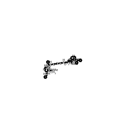 CN[C@@H](C)C(=O)NC1C(=O)N2[C@@H](CC[C@@H]1CNCc1ccccc1)CC[C@H]2C(=O)N[C@H](C(=O)NCCOCCOCCOCCNC(=O)CCc1cn(C[C@H]2CC[C@H]3CC[C@@H](C(=O)NC(c4ccccc4)c4ccccc4)N3C(=O)[C@H]2NC(=O)[C@H](C)NC)nn1)c1ccccc1